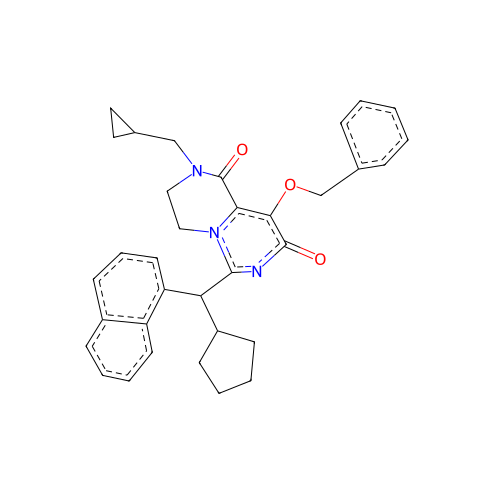 O=C1c2c(OCc3ccccc3)c(=O)nc(C(c3cccc4ccccc34)C3CCCC3)n2CCN1CC1CC1